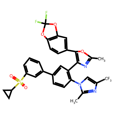 Cc1nc(-c2cc(-c3cccc(S(=O)(=O)C4CC4)c3)ccc2-n2cc(C(F)(F)F)nc2C)c(-c2ccc3c(c2)OC(F)(F)O3)o1